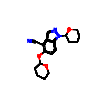 N#Cc1c(OC2CCCCO2)ccc2c1cnn2C1CCCCO1